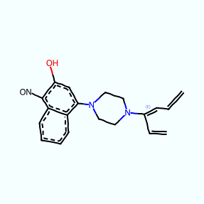 C=C/C=C(\C=C)N1CCN(c2cc(O)c(N=O)c3ccccc23)CC1